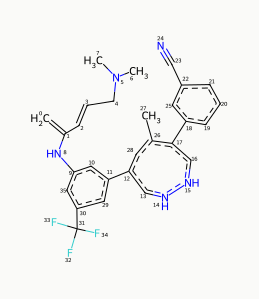 C=C(/C=C/CN(C)C)Nc1cc(-c2c[nH][nH]cc(-c3cccc(C#N)c3)c(C)c2)cc(C(F)(F)F)c1